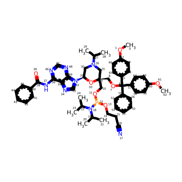 COc1ccc(C(OC[C@]2(COP(OCCC#N)N(C(C)C)C(C)C)CN(C(C)C)C[C@H](n3cnc4c(NC(=O)c5ccccc5)ncnc43)O2)(c2ccccc2)c2ccc(OC)cc2)cc1